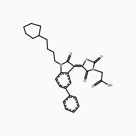 O=C(O)CN1C(=O)S/C(=C2\C(=O)N(CCCCC3CCCCC3)c3ccc(-c4ccccc4)cc32)C1=O